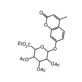 CCOC(=O)C1OC(Oc2ccc3c(C)cc(=O)oc3c2)C(OC(C)=O)C(OC(C)=O)C1OC(C)=O